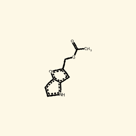 CC(=O)OCc1cc2[nH]ccc2o1